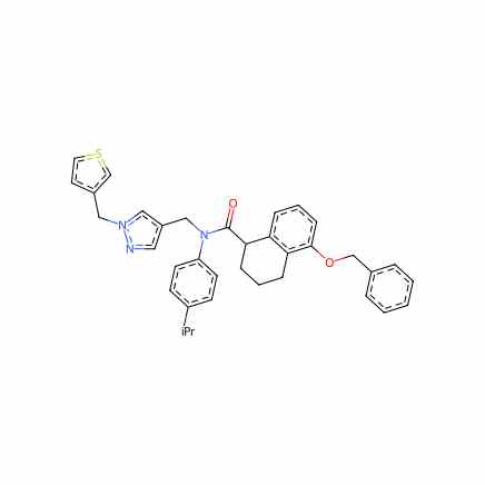 CC(C)c1ccc(N(Cc2cnn(Cc3ccsc3)c2)C(=O)C2CCCc3c(OCc4ccccc4)cccc32)cc1